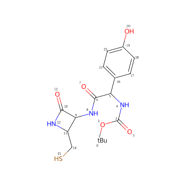 CC(C)(C)OC(=O)NC(C(=O)NC1C(=O)NC1CS)c1ccc(O)cc1